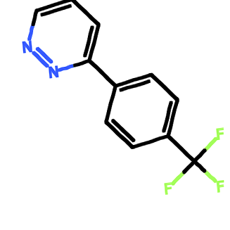 FC(F)(F)c1ccc(-c2cccnn2)cc1